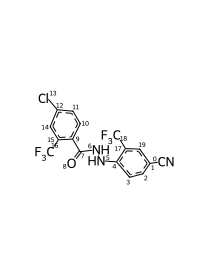 N#Cc1ccc(NNC(=O)c2ccc(Cl)cc2C(F)(F)F)c(C(F)(F)F)c1